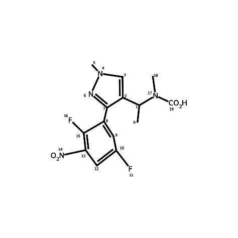 CC(c1cn(C)nc1-c1cc(F)cc([N+](=O)[O-])c1F)N(C)C(=O)O